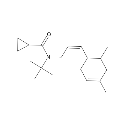 CC1=CCC(/C=C\CN(C(=O)C2CC2)C(C)(C)C)C(C)C1